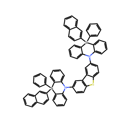 c1ccc([Si]2(c3ccc4ccccc4c3)c3ccccc3N(c3ccc4sc5ccc(N6c7ccccc7[Si](c7ccccc7)(c7ccc8ccccc8c7)c7ccccc76)cc5c4c3)c3ccccc32)cc1